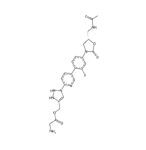 CC(=O)NC[C@H]1CN(c2ccc(-c3ccc(N4C=C(COC(=O)CN)NN4)nc3)c(F)c2)C(=O)O1